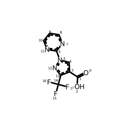 O=C(O)c1cn(-c2ncccn2)nc1C(F)(F)F